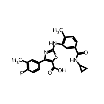 Cc1cc(-c2nc(Nc3cc(C(=O)NC4CC4)ccc3C)sc2C(=O)O)ccc1F